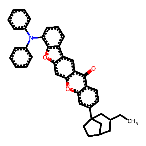 CCC1CC2CCC(c3ccc4c(=O)c5cc6c(cc5oc4c3)oc3c(N(c4ccccc4)c4ccccc4)cccc36)(C1)C2